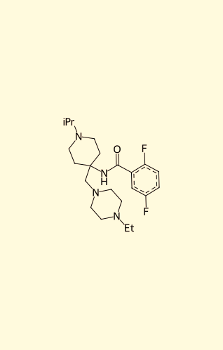 CCN1CCN(CC2(NC(=O)c3cc(F)ccc3F)CCN(C(C)C)CC2)CC1